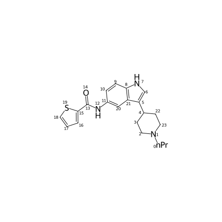 CCCN1CCC(c2c[nH]c3ccc(NC(=O)c4cccs4)cc23)CC1